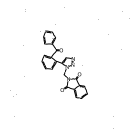 O=C(c1ccccc1)c1ccccc1-c1cnnn1CN1C(=O)c2ccccc2C1=O